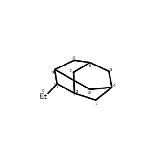 CC[C]1[C]2CC3CC(C2)CC1C3